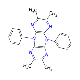 Cc1nc2c(nc1C)N(c1ccccc1)c1nc(C)c(C)nc1N2c1ccccc1